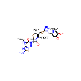 CO/N=C(\C(=O)N[C@@H]1C(=O)N2C(C(=O)[O-])=C(CSc3nnnn3Cc3cc(=O)c(O)cn3OC)CS[C@@H]12)c1nsc(N)n1.[Na+]